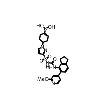 COc1cc(-c2ccc3c(c2NC(=O)NS(=O)(=O)c2ccn(C4CC=C(B(O)O)CC4)n2)CCC3)ccn1